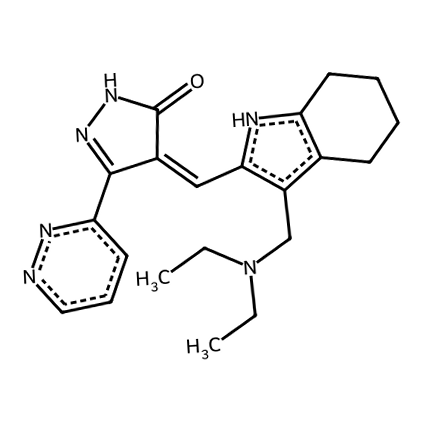 CCN(CC)Cc1c(C=C2C(=O)NN=C2c2cccnn2)[nH]c2c1CCCC2